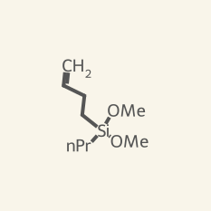 C=CCC[Si](CCC)(OC)OC